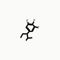 CCC(c1cc(F)c(F)c(F)c1)C(C)C